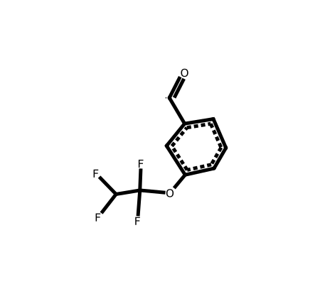 O=[C]c1cccc(OC(F)(F)C(F)F)c1